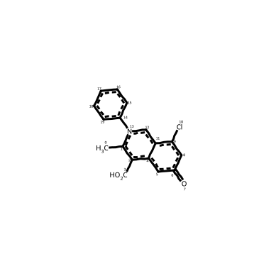 Cc1c(C(=O)O)c2cc(=O)cc(Cl)c-2cn1-c1ccccc1